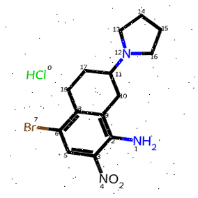 Cl.Nc1c([N+](=O)[O-])cc(Br)c2c1CC(N1CCCC1)CC2